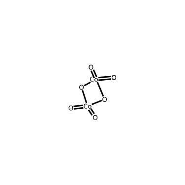 [O]=[Co]1(=[O])[O][Co](=[O])(=[O])[O]1